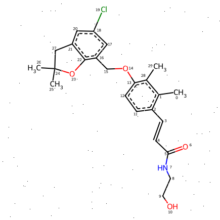 Cc1c(C=CC(=O)NCCO)ccc(OCc2cc(Cl)cc3c2OC(C)(C)C3)c1C